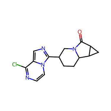 O=C1C2CC2C2CCC(c3ncc4c(Cl)nccn34)CN12